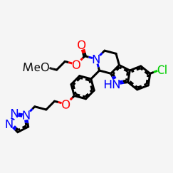 COCCOC(=O)N1CCc2c([nH]c3ccc(Cl)cc23)C1c1ccc(OCCCn2ccnn2)cc1